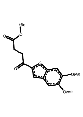 COc1cc2cc(C(=O)CCC(=O)OC(C)(C)C)sc2cc1OC